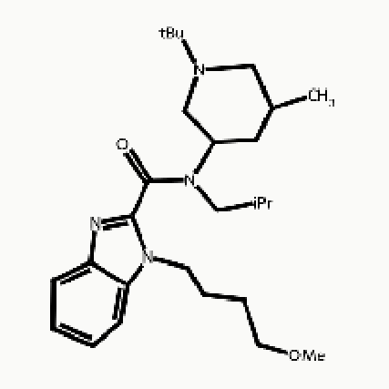 COCCCCn1c(C(=O)N(CC(C)C)C2CC(C)CN(C(C)(C)C)C2)nc2ccccc21